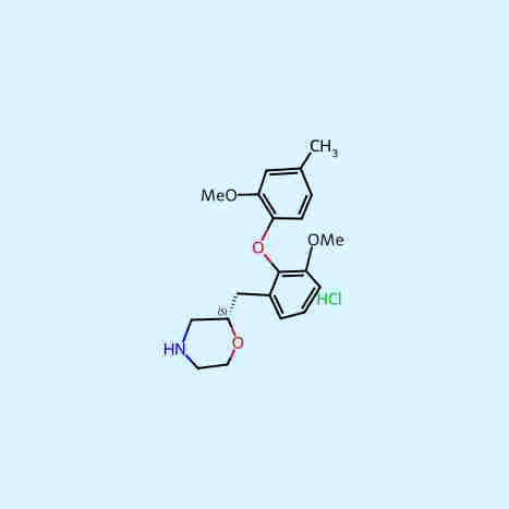 COc1cc(C)ccc1Oc1c(C[C@H]2CNCCO2)cccc1OC.Cl